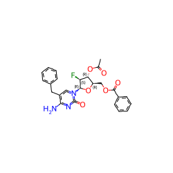 CC(=O)O[C@H]1[C@H](F)[C@H](n2cc(Cc3ccccc3)c(N)nc2=O)O[C@@H]1COC(=O)c1ccccc1